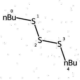 CCCCSSSCCCC